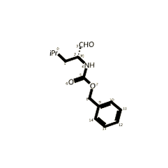 CC(C)C[C@H](C=O)NC(=O)OCc1ccccc1